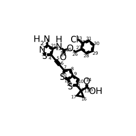 Nc1nsc(C#Cc2cc3cc(C4(C(=O)O)CC4)sc3s2)c1NC(=O)OCc1ccccc1Cl